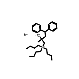 CCCC[N+](CCCC)(CCCC)CC(C)(O)CC(c1ccccc1)c1ccccc1.[Br-]